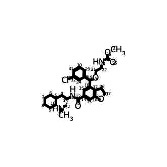 CNC[C@H](CC1CCCCC1)NC(=O)c1cc2c(c(C(OCCNC(=O)OC)c3cccc(Cl)c3)c1)CCO2